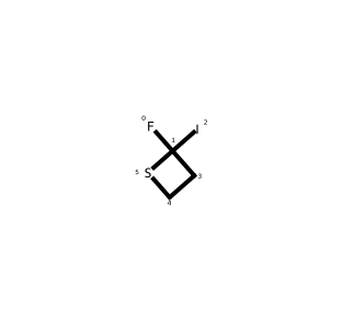 FC1(I)CCS1